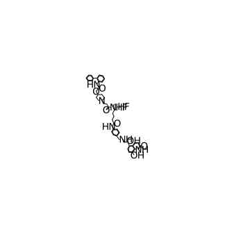 CN(CCCCC(=O)Nc1ccc(CNC[C@H](O)c2ccc(O)c3[nH]c(=O)ccc23)cc1)C(=O)CCN1CCC(OC(=O)Nc2ccccc2-c2ccccc2)CC1.F.F